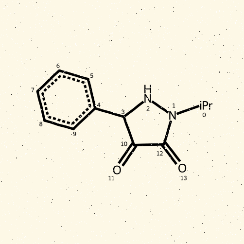 CC(C)N1NC(c2ccccc2)C(=O)C1=O